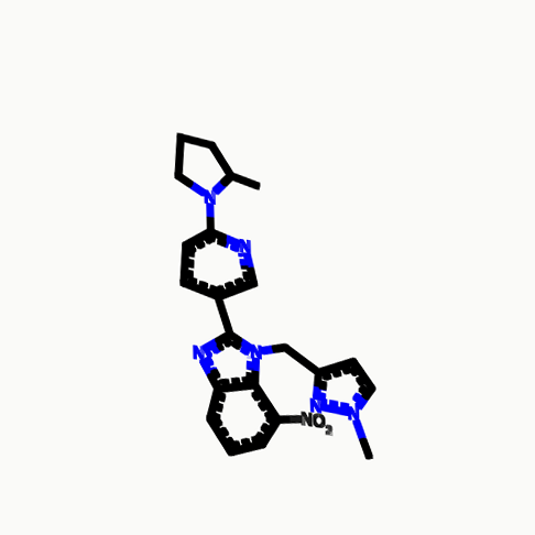 CC1CCCN1c1ccc(-c2nc3cccc([N+](=O)[O-])c3n2Cc2ccn(C)n2)cn1